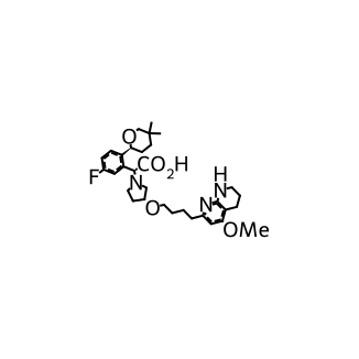 COc1cc(CCCCO[C@@H]2CCN([C@H](C(=O)O)c3cc(F)ccc3[C@@H]3CCC(C)(C)CO3)C2)nc2c1CCCN2